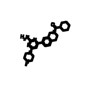 CN1CCN(c2cc(-c3ccc4c(c3)CN(C(=O)C3CCCCC3)CC4)nc(N)n2)CC1